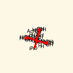 CC(=O)NC1C(O)[C@H](O)C(CO)O[C@H]1OCCCCC(=O)NCCCNC(=O)CCOCC(COCCC(=O)NCCCNC(=O)CCCCO[C@@H]1OC(CO)[C@@H](O)C(O)C1NC(C)=O)(COCCC(=O)NCCCNC(=O)CCCCO[C@@H]1OC(CO)[C@@H](O)C(O)C1NC(C)=O)NC(=O)CCCCCCCCCCC(=O)C(C)C